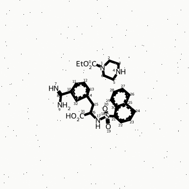 CCOC(=O)N1CCNCC1.N=C(N)c1cccc(CC(NS(=O)(=O)c2cccc3ccccc23)C(=O)O)c1